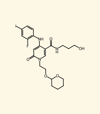 O=C(NCCCO)c1cn(CCOC2CCCCO2)c(=O)cc1Nc1ccc(I)cc1F